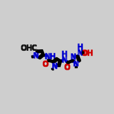 Cn1cc(NC(=O)c2cc(NC(=O)c3nc(NO)cn3C)cn2C)cc1C=O